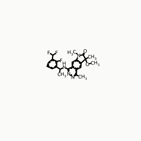 COC1(C)C(=O)N(C)c2cc3c(NC(C)c4cccc(C(F)F)c4F)nnc(C)c3cc21